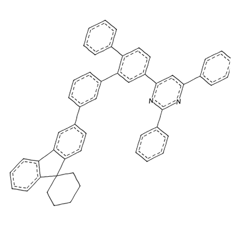 c1ccc(-c2cc(-c3ccc(-c4ccccc4)c(-c4cccc(-c5ccc6c(c5)-c5ccccc5C65CCCCC5)c4)c3)nc(-c3ccccc3)n2)cc1